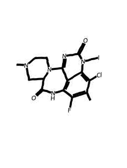 Cc1c(F)c2c3c(nc(=O)n(I)c3c1Cl)N1CCN(C)CC1C(=O)N2